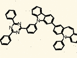 C1=Cc2cc(-c3ccc4c5ccccc5n(-c5cccc(-c6nc(-c7ccccc7)nc(-c7ccccc7)n6)c5)c4c3)ccc2N(c2ccccc2)c2ccccc21